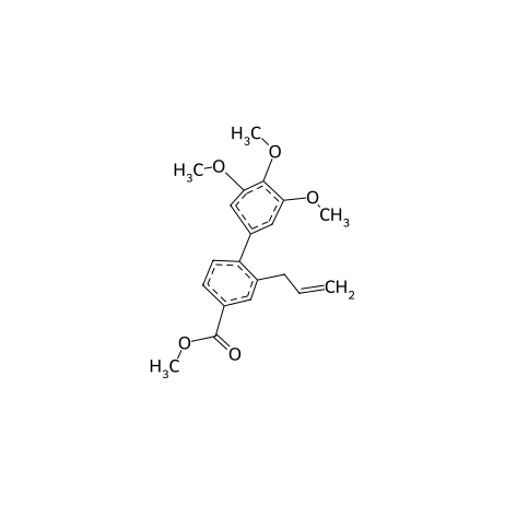 C=CCc1cc(C(=O)OC)ccc1-c1cc(OC)c(OC)c(OC)c1